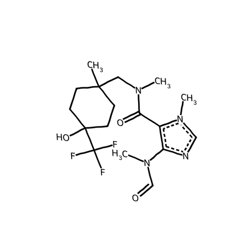 CN(CC1(C)CCC(O)(C(F)(F)F)CC1)C(=O)c1c(N(C)C=O)ncn1C